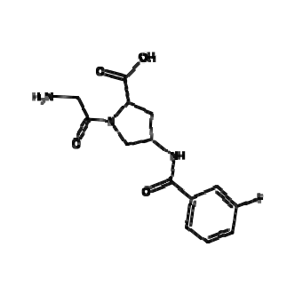 NCC(=O)N1CC(NC(=O)c2cccc(F)c2)CC1C(=O)O